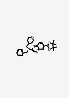 CC1(C)OB(c2ccc3nc(N(Cc4ccccc4)CC4CCOCC4)cnc3c2)OC1(C)C